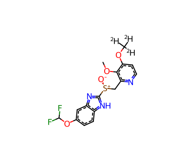 [2H]C([2H])([2H])Oc1ccnc(C[S@+]([O-])c2nc3cc(OC(F)F)ccc3[nH]2)c1OC